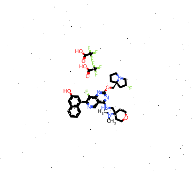 CN(C)C1(CNc2nc(OC[C@@]34CCCN3C[C@H](F)C4)nc3c(F)c(-c4cc(O)cc5ccccc45)ncc23)CCOCC1.O=C(O)C(F)(F)F.O=C(O)C(F)(F)F